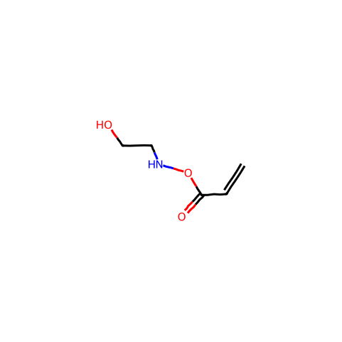 C=CC(=O)ONCCO